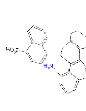 Nc1cccc2ccc3c(c12)CCC1=C3C=CCC1.O=C(O)c1cccc2ccccc12